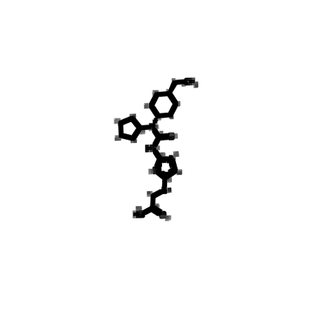 CC[C@H]1CC[C@H](N(C(=O)Nc2ncc(SCC(=O)O)s2)C2CCCC2)CC1